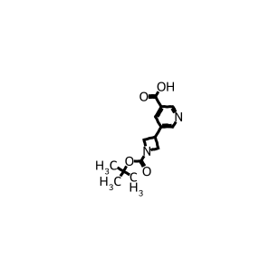 CC(C)(C)OC(=O)N1CC(c2cncc(C(=O)O)c2)C1